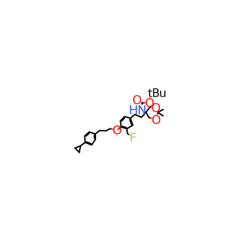 CC(C)(C)OC(=O)NC1(CCc2ccc(OCCCc3ccc(C4CC4)cc3)c(CF)c2)COC(C)(C)OC1